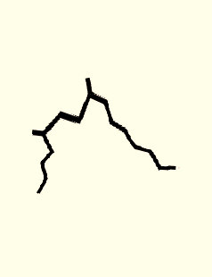 [CH2]CCCCCCC(C)CCC(C)CCCC